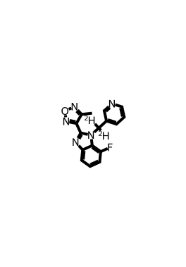 [2H]C([2H])(c1cccnc1)n1c(-c2nonc2C)nc2cccc(F)c21